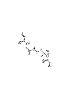 C=CC(=O)OCC(C)OCCC(C)(C)OC(=O)C=C